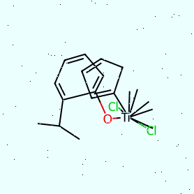 CC(C)c1ccccc1[O][Ti]([CH3])([CH3])([CH3])([CH3])([CH3])([Cl])([Cl])[C]1=CC=CC1